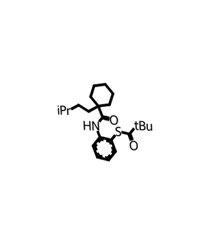 CC(C)CCC1(C(=O)Nc2ccccc2SC(=O)C(C)(C)C)CCCCC1